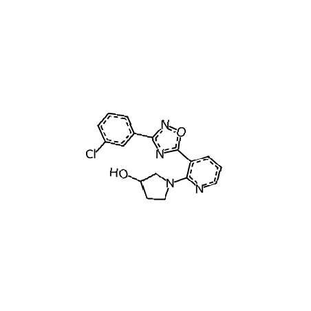 OC1CCN(c2ncccc2-c2nc(-c3cccc(Cl)c3)no2)C1